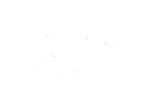 Cc1c2ccc[n+]-2ccn1CC1C=C(C(=O)[O-])N2C(=O)C[C@H]2S1